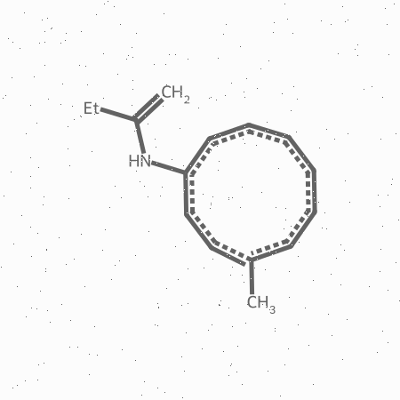 C=C(CC)Nc1ccccccc(C)cc1